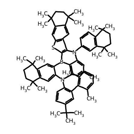 Cc1cc2c3c(c1)N(c1ccc4c(c1)C(C)(C)CCC4(C)C)c1c(sc4cc5c(cc14)C(C)(C)CCC5(C)C)B3c1cc3c(cc1N2c1ccc(C(C)(C)C)cc1-c1c(C)cccc1C)C(C)(C)CCC3(C)C